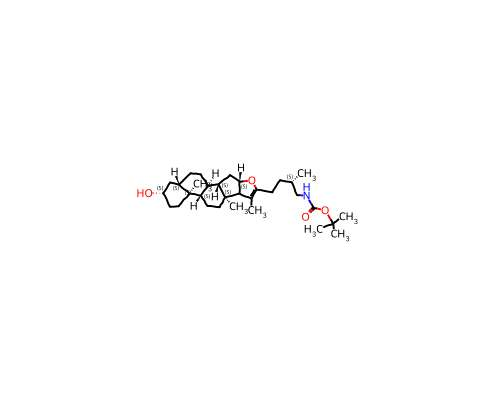 CC1=C(CC[C@H](C)CNC(=O)OC(C)(C)C)O[C@H]2C[C@H]3[C@@H]4CC[C@H]5C[C@@H](O)CC[C@]5(C)[C@H]4CC[C@]3(C)C12